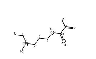 C=C(C)C(=O)OCCCN(C)CC